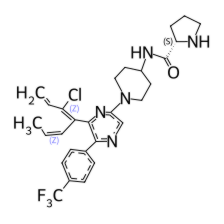 C=C/C(Cl)=C(\C=C/C)c1nc(N2CCC(NC(=O)[C@@H]3CCCN3)CC2)cnc1-c1ccc(C(F)(F)F)cc1